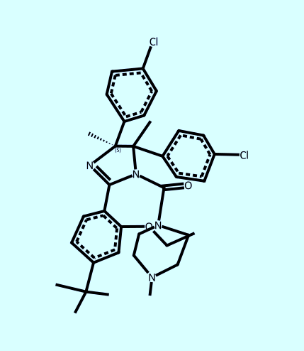 CCOc1cc(C(C)(C)C)ccc1C1=N[C@@](C)(c2ccc(Cl)cc2)C(C)(c2ccc(Cl)cc2)N1C(=O)N1CCN(C)CC1